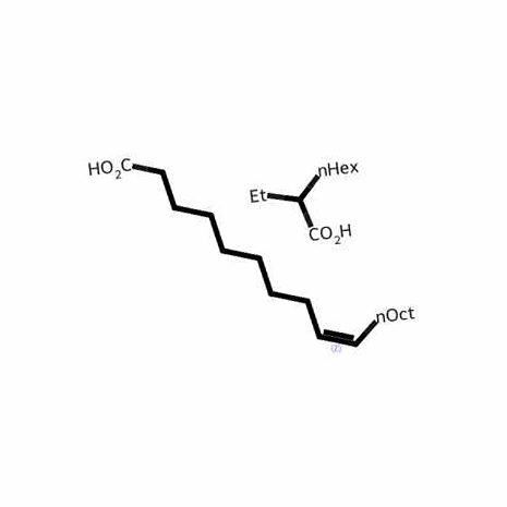 CCCCCCC(CC)C(=O)O.CCCCCCCC/C=C\CCCCCCCC(=O)O